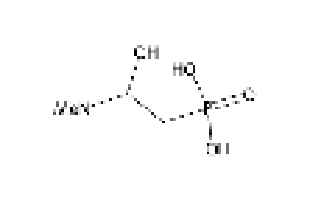 CNC(O)CP(=O)(O)O